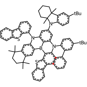 CC(C)(C)c1ccc(N2c3cc(N4c5ccc(C(C)(C)C)cc5C5(C)CCCCC45C)cc4c3B(c3cc5c(cc3N4c3cccc4c3sc3ccccc34)C(C)(C)CCC5(C)C)c3c2ccc2c3sc3ccccc32)c(-c2ccccc2)c1